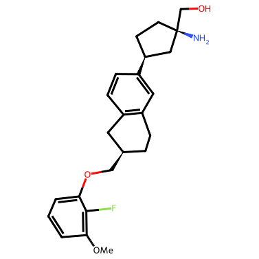 COc1cccc(OC[C@@H]2CCc3cc([C@H]4CC[C@](N)(CO)C4)ccc3C2)c1F